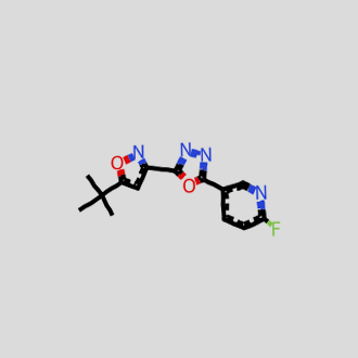 CC(C)(C)c1cc(-c2nnc(-c3ccc(F)nc3)o2)no1